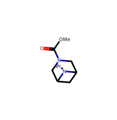 COC(=O)N1CC2CC(C1)N2C(C)C